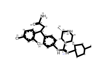 CC1CCC(/N=C(/Nc2ccc(C(CC(N)=O)c3ccc(Cl)cc3Cl)cc2)N2CCN[C@@H](C)C2)CC1